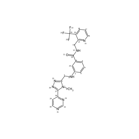 Cn1c(CNc2cccc(C(=O)NCc3ncccc3C(F)(F)F)c2)nnc1-c1ccncn1